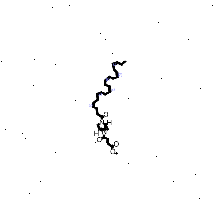 CC/C=C\C/C=C\C/C=C\C/C=C\C/C=C\C/C=C\CCC(=O)N1C[C@@H]2C[C@H]1CN2C(=O)C=CC(=O)OC